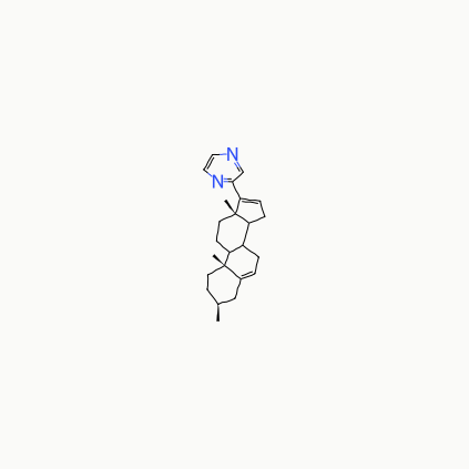 C[C@H]1CC[C@@]2(C)C(=CCC3C2CC[C@]2(C)C(c4cnccn4)=CCC32)C1